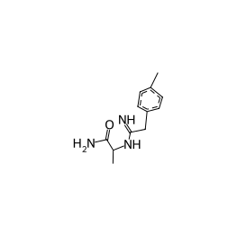 Cc1ccc(CC(=N)NC(C)C(N)=O)cc1